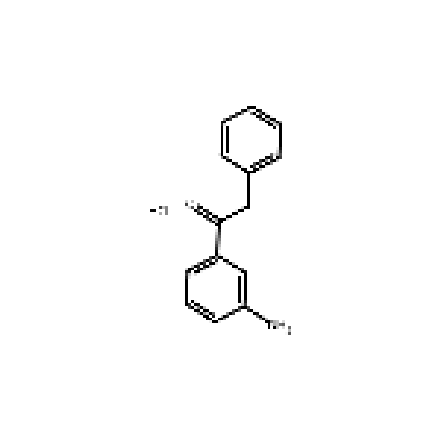 Cl.Nc1cccc(C(=O)Cc2ccccc2)c1